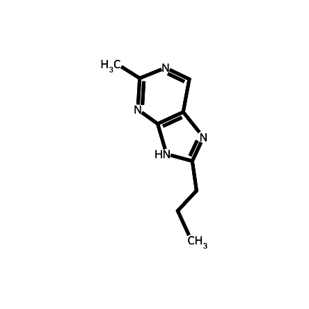 CCCc1nc2cnc(C)nc2[nH]1